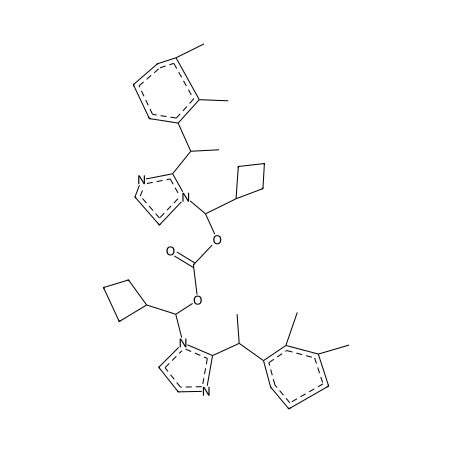 Cc1cccc(C(C)c2nccn2C(OC(=O)OC(C2CCC2)n2ccnc2C(C)c2cccc(C)c2C)C2CCC2)c1C